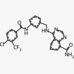 NC(=O)c1cccc2c(NCc3cccc(NC(=O)c4ccc(Cl)c(C(F)(F)F)c4)c3)ncnc12